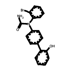 NC(=O)N(c1ccc(-c2ccccc2O)cc1)c1ccccc1Br